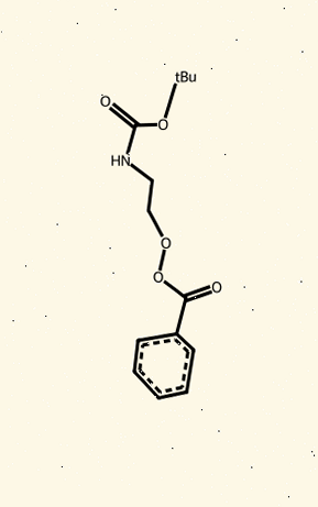 CC(C)(C)OC(=O)NCCOOC(=O)c1ccccc1